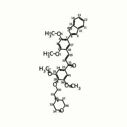 COc1cc(OC)c(-c2cc3ccccc3s2)cc1/C=C/C(=O)c1cc(OC)c(OCCN2CCOCC2)c(OC)c1